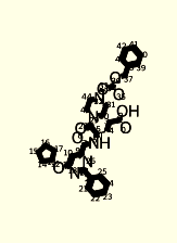 O=C(O)CC[C@H](NC(=O)c1cc(OC2CCCC2)nc(-c2ccccc2)n1)C(=O)N1CCN(OC(=O)OCc2ccccc2)CC1